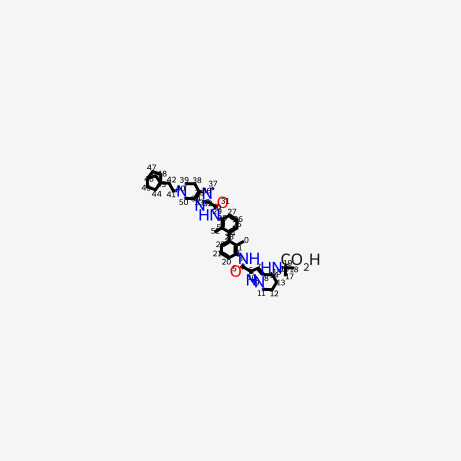 Cc1c(NC(=O)c2cc3n(n2)CCCC3NC(C)(C)C(=O)O)cccc1-c1cccc(NC(=O)c2nc3c(n2C)CCN(CCC24CCC(CC2)C4)C3)c1C